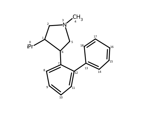 CC(C)C1CN(C)CC1c1ccccc1-c1ccccc1